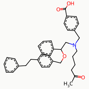 CC(=O)CCCCN(Cc1ccc(C(=O)O)cc1)CC(OCc1ccc(CCc2ccccc2)cc1)c1ccccc1